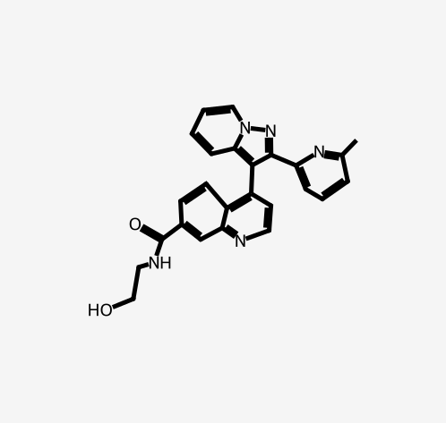 Cc1cccc(-c2nn3ccccc3c2-c2ccnc3cc(C(=O)NCCO)ccc23)n1